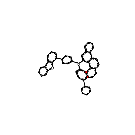 c1ccc(-c2ccc(N(c3ccc(-c4cccc5c4oc4ccccc45)cc3)c3cc4ccccc4c4ccc5ccccc5c34)cc2)cc1